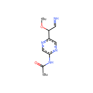 CC(C)(C)OC(C=N)c1cnc(NC(=O)C(C)(C)C)cn1